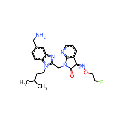 CC(C)CCn1c(CN2C(=O)/C(=N\OCCF)c3cccnc32)nc2cc(CN)ccc21